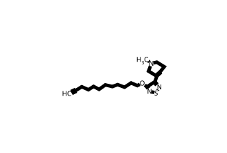 C#CCCCCCCCCCCOc1nsnc1C1=CCCN(C)C1